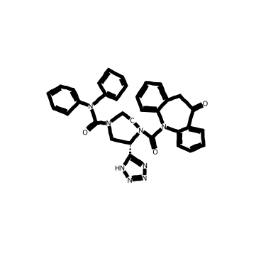 O=C1Cc2ccccc2N(C(=O)N2CCN(C(=O)N(c3ccccc3)c3ccccc3)C[C@H]2c2nnn[nH]2)c2ccccc21